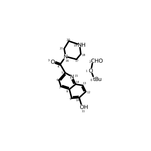 CC(C)(C)OC=O.O=C(c1ccc2cc(O)ccc2n1)N1CCNCC1